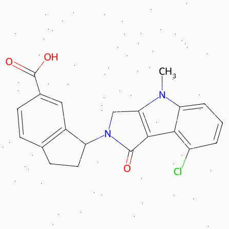 Cn1c2c(c3c(Cl)cccc31)C(=O)N(C1CCc3ccc(C(=O)O)cc31)C2